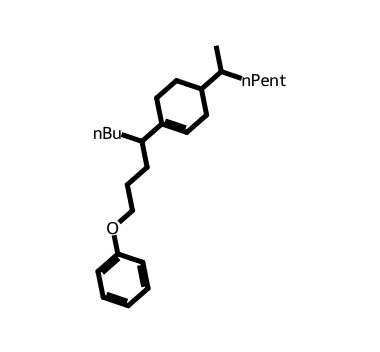 CCCCCC(C)C1CC=C(C(CCCC)CCCOc2ccccc2)CC1